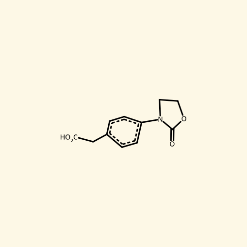 O=C(O)Cc1ccc(N2CCOC2=O)cc1